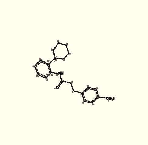 O=C(CCc1ccc(C(=O)O)cc1)Nc1ccccc1N1CCCCC1